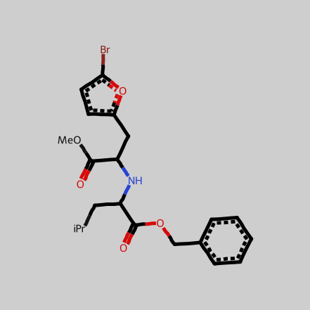 COC(=O)C(Cc1ccc(Br)o1)NC(CC(C)C)C(=O)OCc1ccccc1